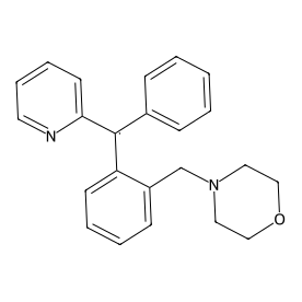 c1ccc([C](c2ccccn2)c2ccccc2CN2CCOCC2)cc1